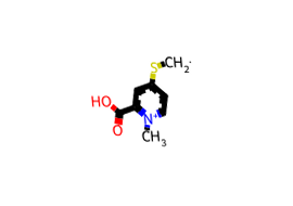 [CH2]Sc1cc[n+](C)c(C(=O)O)c1